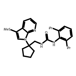 CSc1cn(C2(CNC(=O)Nc3c(C(C)C)cccc3C(C)C)CCCC2)c2ncccc12